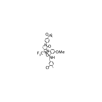 COc1ccc(-n2nc(C(F)(F)F)c3c2C(=O)N(c2ccc(C(=O)N(C)C)cc2)CC3)c(C(=O)NCc2ccc(C)c(Cl)c2)c1